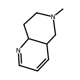 CN1CCC2N=CC=CC2C1